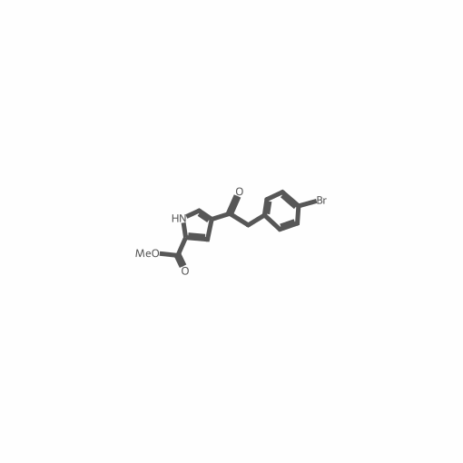 COC(=O)c1cc(C(=O)Cc2ccc(Br)cc2)c[nH]1